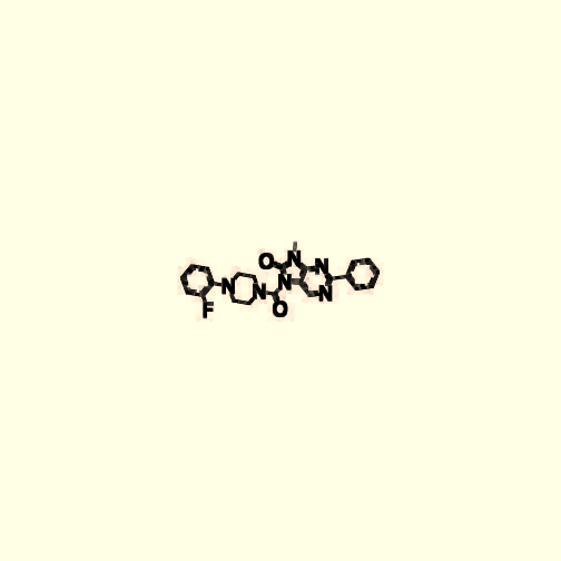 Cn1c(=O)n(C(=O)N2CCN(c3ccccc3F)CC2)c2cnc(-c3ccccc3)nc21